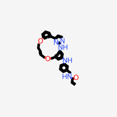 C=CC(=O)NCc1cccc(Nc2cc3cc(c2)Nc2nccc(n2)-c2cccc(c2)OCC/C=C/COC3)c1